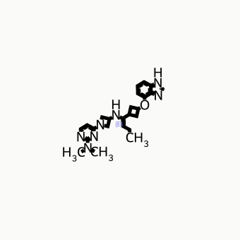 CC/C=C(/NC1CN(c2ccnc(N(C)C)n2)C1)C1CC(Oc2cccc3[nH]cnc23)C1